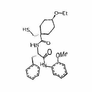 CCO[C@H]1CC[C@@](CS)(C(=O)N[C@@H](Cc2ccccc2)C(=O)Nc2ccccc2OC)CC1